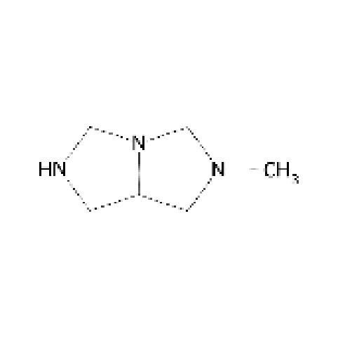 CN1CC2CNCN2C1